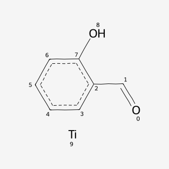 O=Cc1ccccc1O.[Ti]